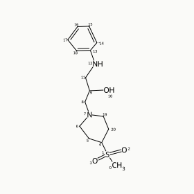 CS(=O)(=O)C1CCN(CC(O)CNc2[c]cccc2)CC1